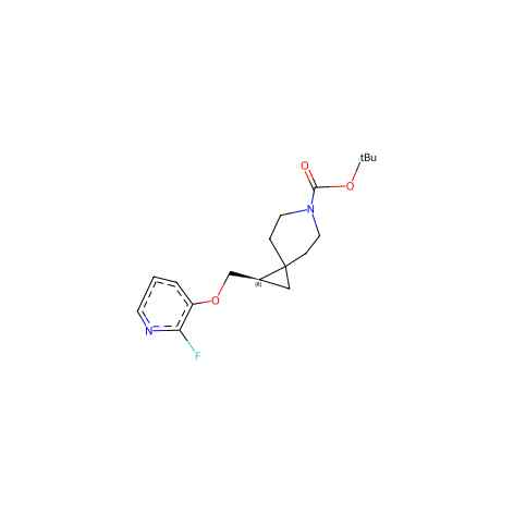 CC(C)(C)OC(=O)N1CCC2(CC1)C[C@H]2COc1cccnc1F